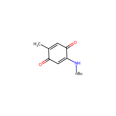 CCCCNC1=CC(=O)C(C)=CC1=O